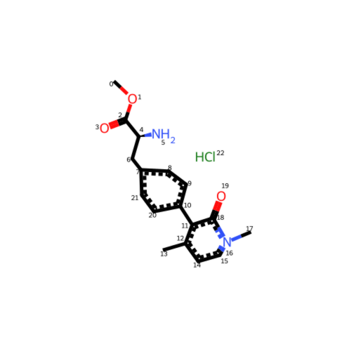 COC(=O)[C@@H](N)Cc1ccc(-c2c(C)ccn(C)c2=O)cc1.Cl